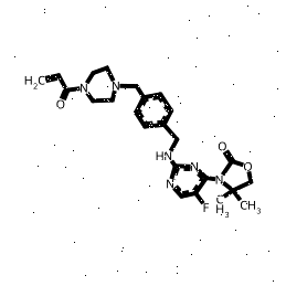 C=CC(=O)N1CCN(Cc2ccc(CNc3ncc(F)c(N4C(=O)OCC4(C)C)n3)cc2)CC1